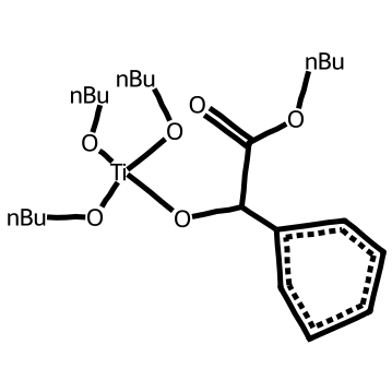 CCCCOC(=O)C([O][Ti]([O]CCCC)([O]CCCC)[O]CCCC)c1ccccc1